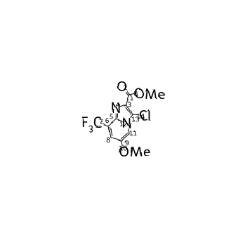 COC(=O)c1nc2c(C(F)(F)F)cc(OC)cn2c1Cl